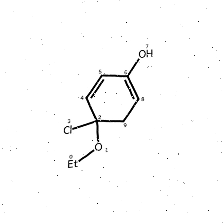 CCOC1(Cl)C=CC(O)=CC1